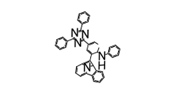 C/C=C(\C=C(\C1=C2C=CC=C3c4ccccc4C1N32)C(C)Nc1ccccc1)c1nc(-c2ccccc2)nc(-c2ccccc2)n1